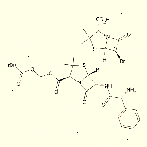 CC(C)(C)C(=O)OCOC(=O)[C@@H]1N2C(=O)[C@@H](NC(=O)[C@H](N)c3ccccc3)[C@H]2SC1(C)C.CC1(C)S[C@@H]2[C@H](Br)C(=O)N2[C@H]1C(=O)O